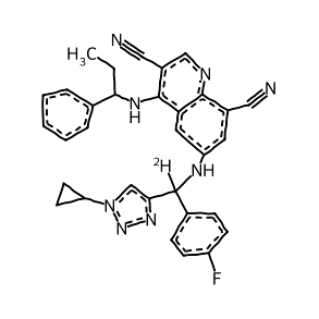 [2H]C(Nc1cc(C#N)c2ncc(C#N)c(NC(CC)c3ccccc3)c2c1)(c1ccc(F)cc1)c1cn(C2CC2)nn1